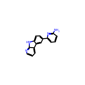 Nc1cccc(-c2ccc3[nH]c4ncccc4c3c2)n1